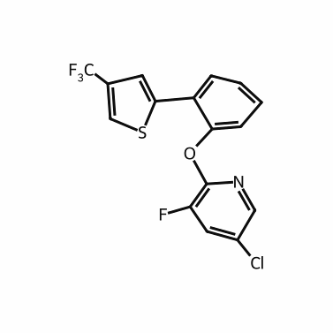 Fc1cc(Cl)cnc1Oc1ccccc1-c1cc(C(F)(F)F)cs1